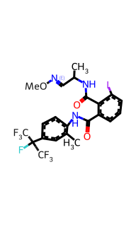 CO/N=C/C(C)NC(=O)c1c(I)cccc1C(=O)Nc1ccc(C(F)(C(F)(F)F)C(F)(F)F)cc1C